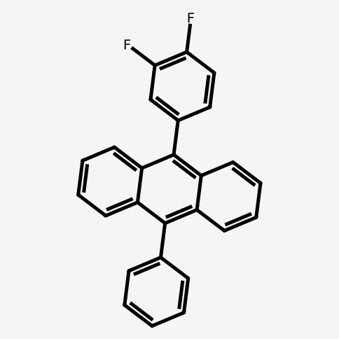 Fc1ccc(-c2c3ccccc3c(-c3ccccc3)c3ccccc23)cc1F